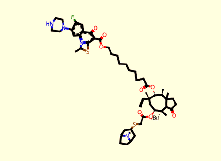 C=C[C@@]1(C)C[C@H](OC(=O)CSC2CC3CCC(C2)N3C)[C@@](C)(C(C)CC)C2C(=O)CCC2(C)[C@H](C)[C@H]1OC(=O)CCCCCCCCCOC(=O)c1c2n(c3cc(N4CCNCC4)c(F)cc3c1=O)C(C)S2